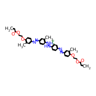 C=CC(=O)OCCOc1ccc(/N=N/c2ccc(NNc3ccc(/N=N/c4ccc(OCCOC(=O)C=C)c(C)c4)cc3F)c(C)c2)cc1C